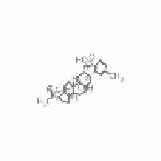 CC(=O)[C@H]1CC[C@H]2[C@@H]3CC[C@@H]4C[C@@H](c5cc(C)ccc5S(=O)(=O)O)CC[C@]4(C)[C@H]3CC[C@]12C